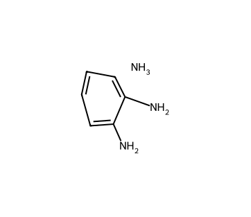 N.Nc1ccccc1N